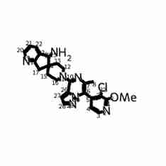 COc1nccc(-c2c(C)nc(N3CCC4(CC3)Cc3ncccc3[C@H]4N)c3ccnn23)c1Cl